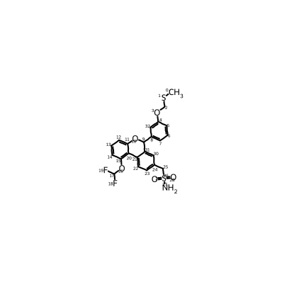 CSCOc1cccc(C2Oc3cccc(OC(F)F)c3-c3ccc(CS(N)(=O)=O)cc32)c1